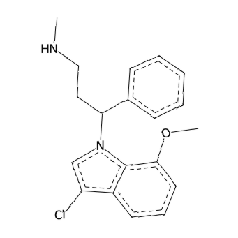 CNCCC(c1ccccc1)n1cc(Cl)c2cccc(OC)c21